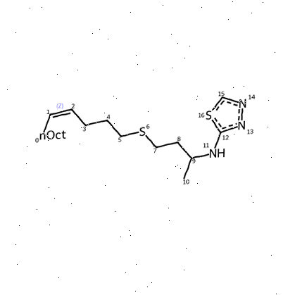 CCCCCCCC/C=C\CCCSCCC(C)Nc1nncs1